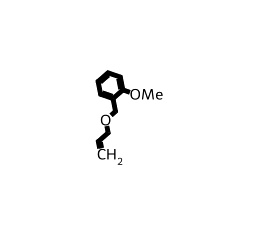 C=CCOCc1ccccc1OC